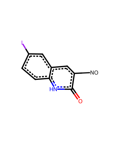 O=Nc1cc2cc(I)ccc2[nH]c1=O